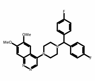 COc1cc2nncc(N3CCN(C(c4ccc(F)cc4)c4ccc(F)cc4)CC3)c2cc1OC